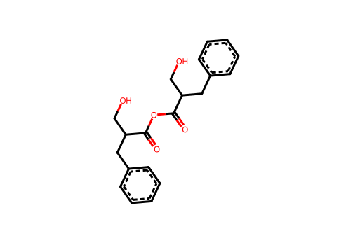 O=C(OC(=O)C(CO)Cc1ccccc1)C(CO)Cc1ccccc1